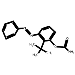 CC(C)(C)c1c(N=Nc2ccccc2)cccc1OC(N)=O